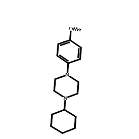 COc1ccc(N2CCN(C3CCCCC3)CC2)cc1